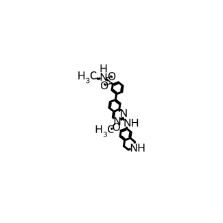 CCNS(=O)(=O)c1cccc(-c2ccc3cnc(Nc4cc5c(cc4OC)CCNC5)nc3c2)c1